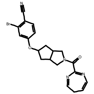 N#Cc1ccc(OC2CC3CN(C(=O)C4=NC=CCC=N4)CC3C2)cc1Br